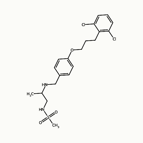 CC(CNS(C)(=O)=O)NCc1ccc(OCCCc2c(Cl)cccc2Cl)cc1